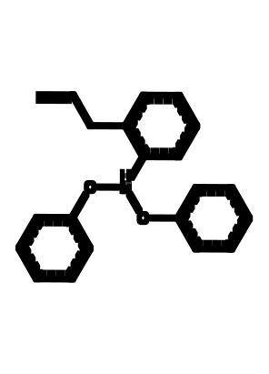 C=CCc1ccccc1[SiH](Oc1ccccc1)Oc1ccccc1